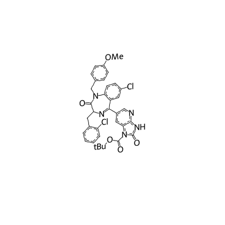 COc1ccc(CN2C(=O)C(Cc3ccccc3Cl)N=C(c3cnc4[nH]c(=O)n(C(=O)OC(C)(C)C)c4c3)c3cc(Cl)ccc32)cc1